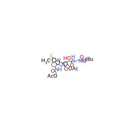 CC(=O)OCC(=O)N[C@H]1CCc2c(C)c(F)cc3nc4c(c1c23)Cn1c-4cc([C@H](O)C(=O)NCCNC(=O)OC(C)(C)C)c(COC(C)=O)c1=O